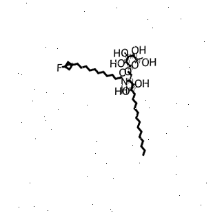 CCCCCCCCCCCCCC[C@@H](O)[C@@H](O)[C@H](CO[C@H]1O[C@H](CO)[C@H](O)[C@H](O)[C@H]1O)NC(=O)CCCCCCCCCCC12CC(F)(C1)C2